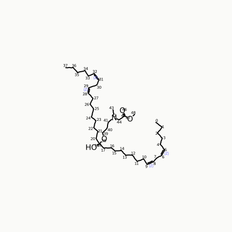 CCCCC/C=C\C/C=C\CCCCCCCCC(O)(CCCCCCCC/C=C\C/C=C\CCCCC)OCCCN(C)CC(=O)OC